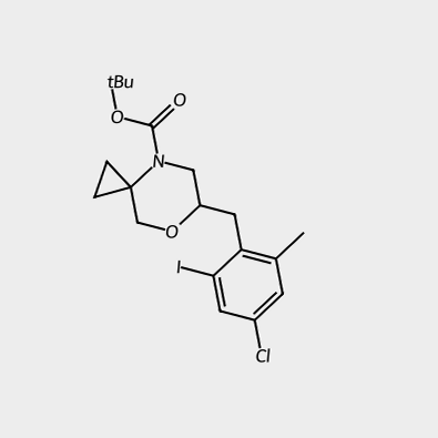 Cc1cc(Cl)cc(I)c1CC1CN(C(=O)OC(C)(C)C)C2(CC2)CO1